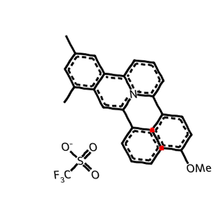 COc1ccc(-c2cccc3c4cc(C)cc(C)c4cc(-c4ccccc4)[n+]23)cc1.O=S(=O)([O-])C(F)(F)F